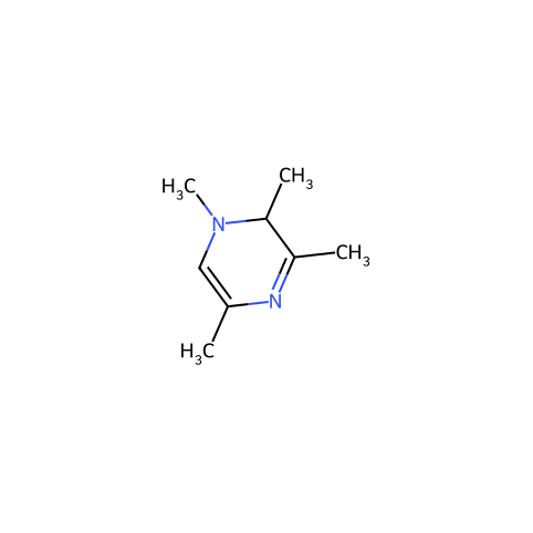 CC1=CN(C)C(C)C(C)=N1